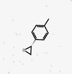 Cc1ccc([C@@H]2CO2)cc1